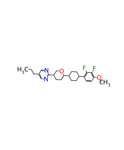 CCCc1cnc(C2CCC(C3CCC(c4ccc(OC)c(F)c4F)CC3)OC2)nc1